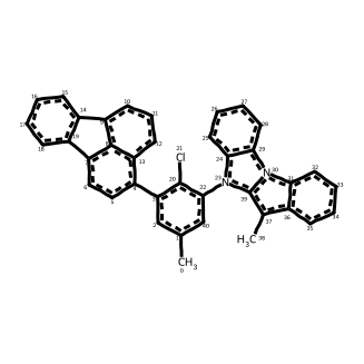 Cc1cc(-c2ccc3c4c(cccc24)-c2ccccc2-3)c(Cl)c(-n2c3ccccc3n3c4ccccc4c(C)c23)c1